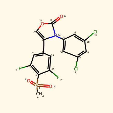 CS(=O)(=O)c1c(F)cc(-c2coc(=O)n2-c2cc(Cl)cc(Cl)c2)cc1F